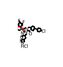 CCN(CC)CCN(Cc1ccc(-c2ccc(Cl)cc2)cc1)C(C=O)n1cc(Cc2cnn(C)c2)c(=O)nc1SCc1ccc(F)c(F)c1.Cl